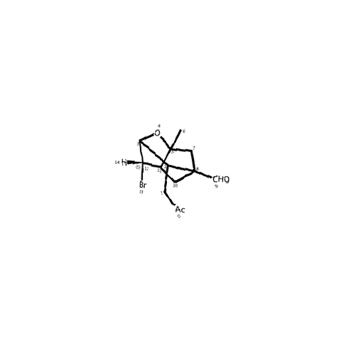 CC(=O)CC1C2OC3(C)CC1(C=O)CC3[C@@H]2Br